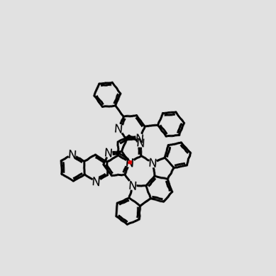 c1ccc(-c2cc(-c3ccccc3)nc(-c3nccc(-n4c5ccccc5c5ccc6c7ccccc7n(-c7nccc(-c8cnc9cccnc9c8)n7)c6c54)n3)n2)cc1